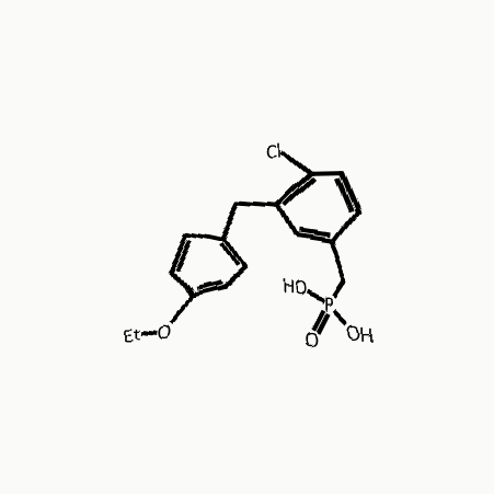 CCOc1ccc(Cc2cc(CP(=O)(O)O)ccc2Cl)cc1